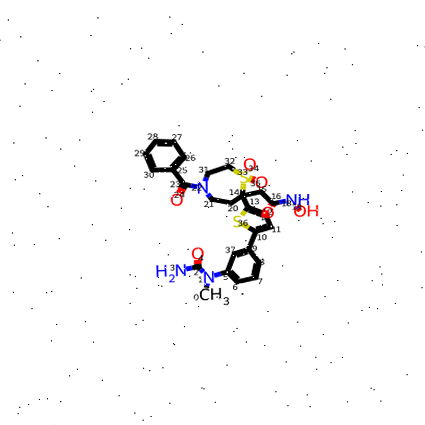 CN(C(N)=O)c1cccc(-c2ccc(C3(CC(=O)NO)CCN(C(=O)c4ccccc4)CCS3(=O)=O)s2)c1